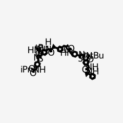 CC(C)OC(=O)NC1CCC(c2ncc(-c3ccc(NC(=O)C4CC4c4cccc(CC(C)OC(=O)NC5CCC(c6ncc(-c7ccc(NC(=O)NC8(c9ccccc9)CC8)cc7S(=O)(=O)NC(C)(C)C)s6)CC5)c4)cc3S(=O)(=O)NC(C)(C)C)s2)CC1